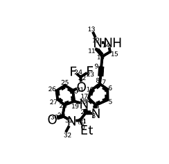 CC[C@@H]1c2nc3ccc(C#CC4=CN(C)NC4)cc3n2-c2c(OC(F)F)cccc2C(=O)N1C